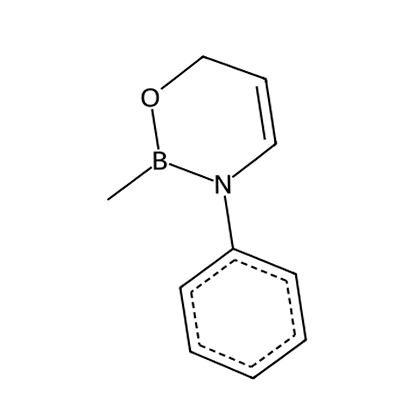 CB1OCC=CN1c1ccccc1